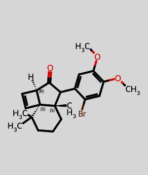 COc1cc(Br)c(C2C(=O)[C@@H]3C=C[C@@]34C(C)(C)CCC[C@@]24C)cc1OC